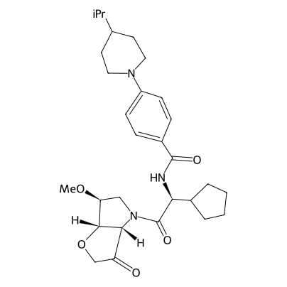 CO[C@H]1CN(C(=O)[C@@H](NC(=O)c2ccc(N3CCC(C(C)C)CC3)cc2)C2CCCC2)[C@@H]2C(=O)CO[C@H]12